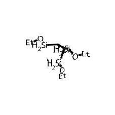 CCO[SiH2]CC([SiH2]OCC)[SiH2]OCC